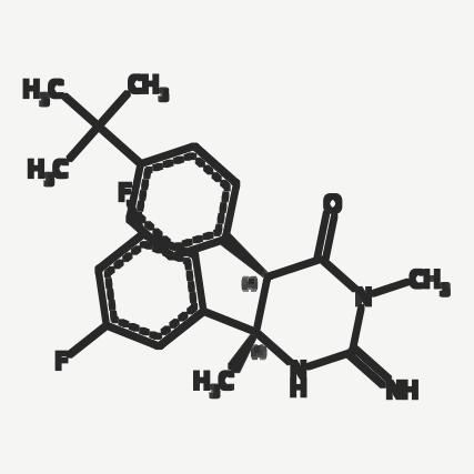 CN1C(=N)N[C@](C)(c2cc(F)cc(F)c2)[C@@H](c2ccc(C(C)(C)C)cc2)C1=O